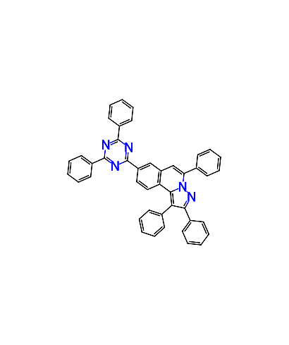 c1ccc(-c2nc(-c3ccccc3)nc(-c3ccc4c(c3)cc(-c3ccccc3)n3nc(-c5ccccc5)c(-c5ccccc5)c43)n2)cc1